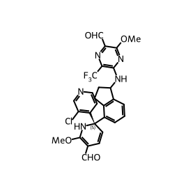 COC1=C(C=O)C=C[C@@](c2ccncc2Cl)(c2cccc3c2CCC3Nc2nc(OC)c(C=O)nc2C(F)(F)F)N1